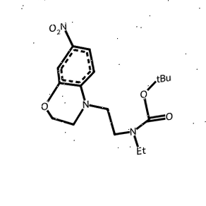 CCN(CCN1CCOc2cc([N+](=O)[O-])ccc21)C(=O)OC(C)(C)C